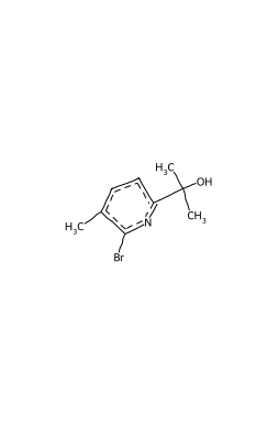 Cc1ccc(C(C)(C)O)nc1Br